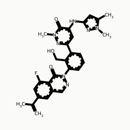 C=C(C)c1cc(F)c2c(=O)n(-c3cccc(-c4cc(Nc5cc(C)n(C)n5)c(=O)n(C)n4)c3CO)ncc2c1